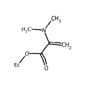 C=C(C(=O)OCC)N(C)C